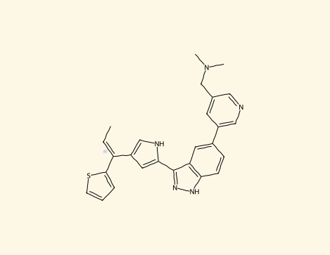 C/C=C(\c1c[nH]c(-c2n[nH]c3ccc(-c4cncc(CN(C)C)c4)cc23)c1)c1cccs1